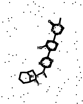 CN(c1cnc(-c2ccc(-c3ccn(C)c(=O)n3)cc2O)cn1)[C@@H]1CC2CCCC(N2)[C@@H]1F